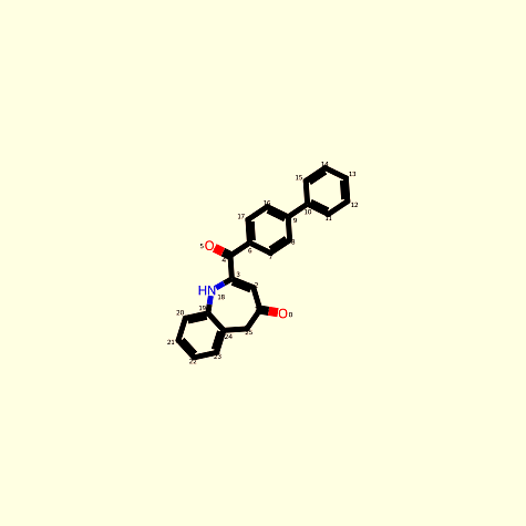 O=C1C=C(C(=O)c2ccc(-c3ccccc3)cc2)Nc2ccccc2C1